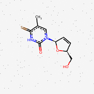 Cc1cn([C@H]2C=C[C@@H](CO)O2)c(=O)[nH]c1=S